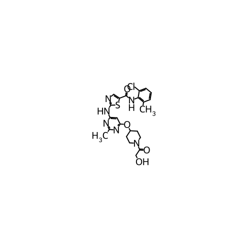 Cc1nc(Nc2ncc(C(=O)Nc3c(C)cccc3Cl)s2)cc(OC2CCN(C(=O)CO)CC2)n1